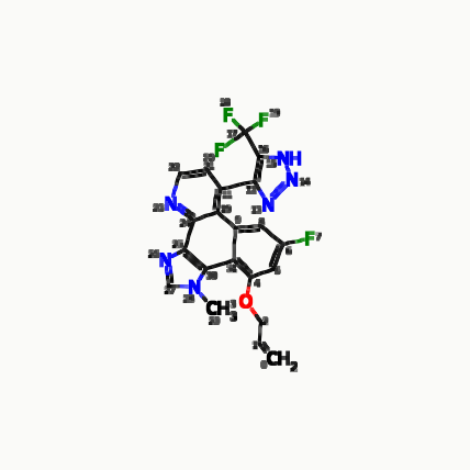 C=CCOc1cc(F)cc2c3c(-c4nn[nH]c4C(F)(F)F)ccnc3c3ncn(C)c3c12